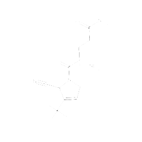 N#CC1C(C(F)(F)F)=CCN1C(=O)[C@@H](N)CCC(N)=O